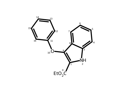 CCOC(=O)c1[nH]c2ccccc2c1Oc1ccccc1